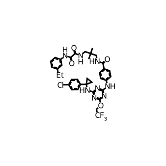 CCc1cccc(NC(=O)C(=O)NCC(C)(C)CNC(=O)c2ccc(Nc3nc(NC4(c5ccc(Cl)cc5)CC4)nc(OCC(F)(F)F)n3)cc2)c1